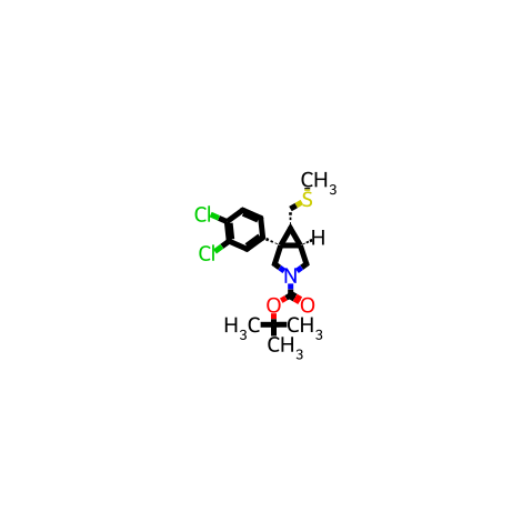 CSC[C@@H]1[C@H]2CN(C(=O)OC(C)(C)C)C[C@@]12c1ccc(Cl)c(Cl)c1